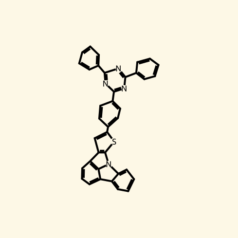 c1ccc(-c2nc(-c3ccccc3)nc(-c3ccc(-c4cc5c6cccc7c8ccccc8n(c5s4)c76)cc3)n2)cc1